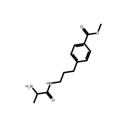 COC(=O)c1ccc(CCCNC(=O)C(C)N)cc1